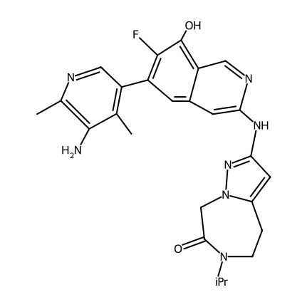 Cc1ncc(-c2cc3cc(Nc4cc5n(n4)CC(=O)N(C(C)C)CC5)ncc3c(O)c2F)c(C)c1N